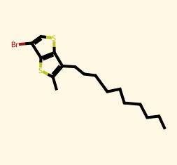 CCCCCCCCCCc1c(C)sc2c(Br)csc12